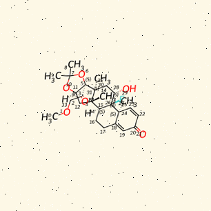 COCC(=O)[C@@]12OC(C)(C)O[C@@H]1C[C@@]1(C)[C@@H]3CCC4=CC(=O)C=C[C@]4(C)[C@@]3(F)[C@@H](O)C[C@@]12C